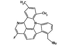 Cc1cc(C)c2c(c1)c1ncc(F)c3ccc4c5c(CC(C)(C)C)cccc5n2c4c31